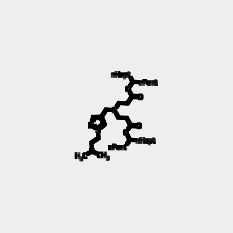 CCCCCCCC(CCCCC)OC(=O)CCN(CCC(=O)OC(CCCCC)CCCCCCC)Cc1cnn(CCN(C)C)c1